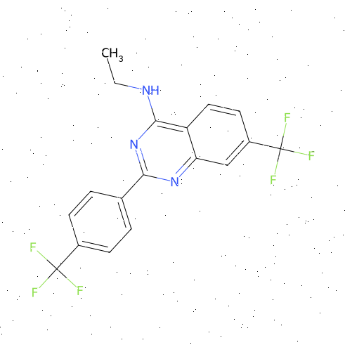 CCNc1nc(-c2ccc(C(F)(F)F)cc2)nc2cc(C(F)(F)F)ccc12